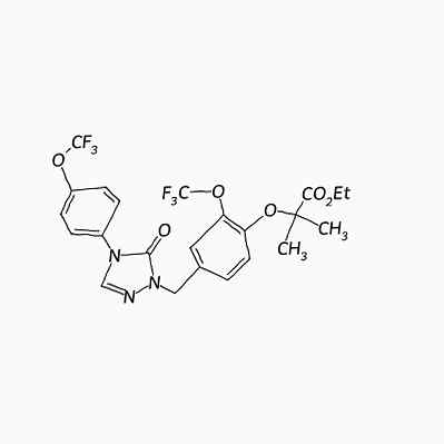 CCOC(=O)C(C)(C)Oc1ccc(Cn2ncn(-c3ccc(OC(F)(F)F)cc3)c2=O)cc1OC(F)(F)F